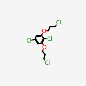 ClCCCOc1cc(Cl)cc(OCCCCl)c1Cl